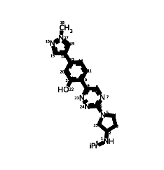 CC(C)NC1CCN(c2ncc(-c3ccc(-c4cnn(C)c4)cc3O)nn2)C1